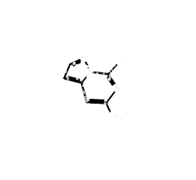 Cc1cc2ccnn2c(C)n1